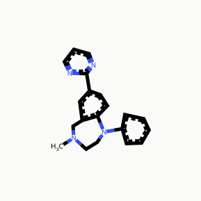 CN1CCN(c2ccccc2)c2ccc(-c3ncccn3)cc2C1